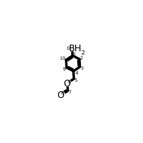 Bc1ccc(COC=O)cc1